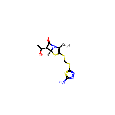 CC(O)[C@H]1C(=O)N2C(C(=O)O)=C(SCSc3nnc(N)s3)S[C@H]12